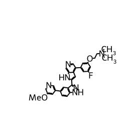 COc1cncc(-c2ccc3[nH]nc(-c4cc5c(-c6cc(F)cc(OCCN(C)C)c6)cncc5[nH]4)c3c2)c1